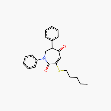 CCCCCSC1=CC(=O)C(c2ccccc2)CN(c2ccccc2)C1=O